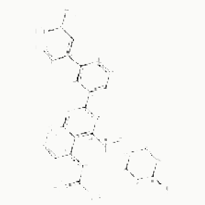 C=C/C(=C\N(C)C)c1cccc(-c2ncc(C(/C=N\C)=C/C(=C)C)c(NC[C@H]3CC[C@H](O)CC3)n2)c1